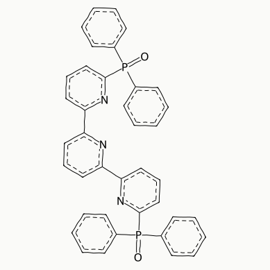 O=P(c1ccccc1)(c1ccccc1)c1cccc(-c2cccc(-c3cccc(P(=O)(c4ccccc4)c4ccccc4)n3)n2)n1